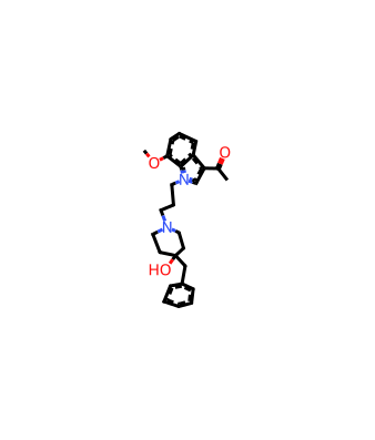 COc1cccc2c(C(C)=O)cn(CCCN3CCC(O)(Cc4ccccc4)CC3)c12